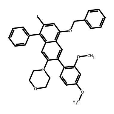 COc1ccc(-c2cc3c(OCc4ccccc4)cc(I)c(-c4ccccc4)c3cc2N2CCOCC2)c(OC)c1